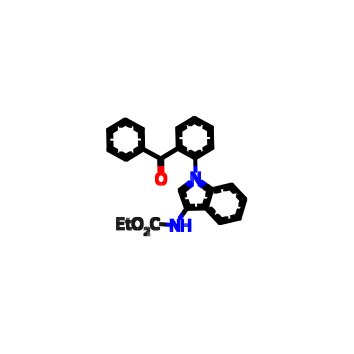 CCOC(=O)Nc1cn(-c2ccccc2C(=O)c2ccccc2)c2ccccc12